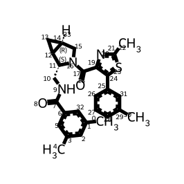 Cc1cc(C)cc(C(=O)NC[C@@H]2C3C[C@H]3CN2C(=O)c2nc(C)sc2-c2cccc(C)c2)c1